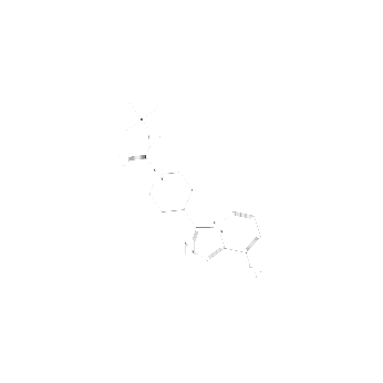 CC(C)(C)OC(=O)N1CCC(c2ncc3c(Br)cccn23)CC1